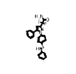 NC(=O)C(F)(F)c1cc(-c2ccccc2)n(-c2ccc(SNc3ccccc3)cc2)n1